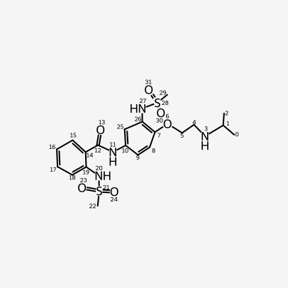 CC(C)NCCOc1ccc(NC(=O)c2ccccc2NS(C)(=O)=O)cc1NS(C)(=O)=O